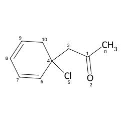 CC(=O)CC1(Cl)C=CC=CC1